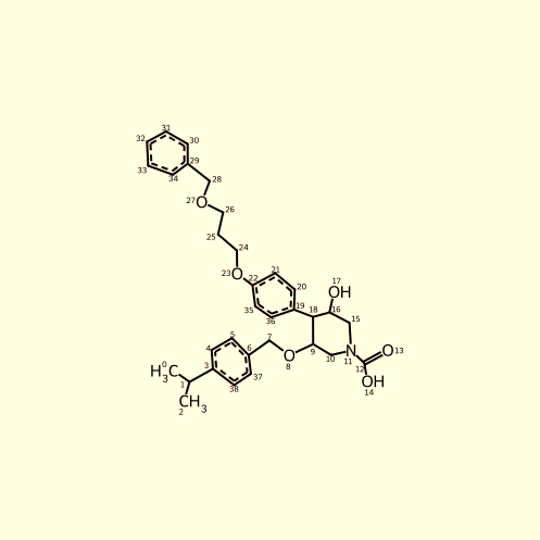 CC(C)c1ccc(COC2CN(C(=O)O)CC(O)C2c2ccc(OCCCOCc3ccccc3)cc2)cc1